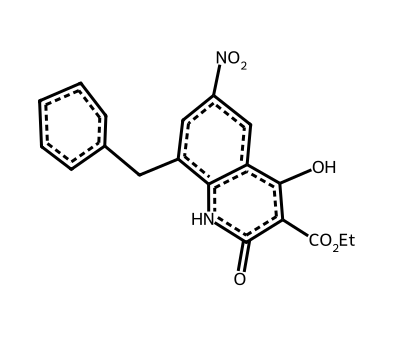 CCOC(=O)c1c(O)c2cc([N+](=O)[O-])cc(Cc3ccccc3)c2[nH]c1=O